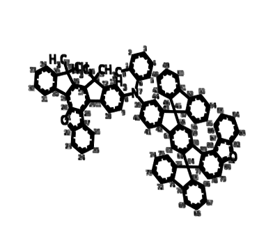 Cc1ccccc1N(c1ccc2c(c1)C(C)(C)c1c3c(c4oc5ccccc5c4c1-2)-c1ccccc1C3(C)C)c1ccc2c(c1)C1(c3ccccc3-c3ccccc31)c1cc3c(cc1-2)C1(c2ccccc2-c2ccccc21)c1ccc2oc4ccccc4c2c1-3